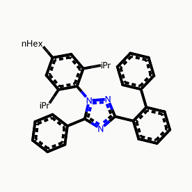 CCCCCCc1cc(C(C)C)c(-n2nc(-c3ccccc3-c3ccccc3)nc2-c2ccccc2)c(C(C)C)c1